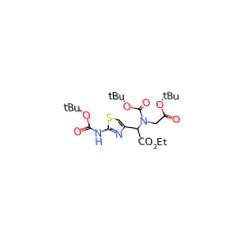 CCOC(=O)C(c1csc(NC(=O)OC(C)(C)C)n1)N(CC(=O)OC(C)(C)C)C(=O)OC(C)(C)C